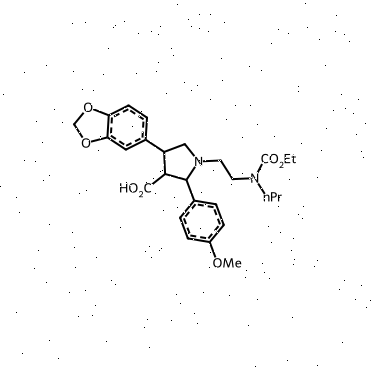 CCCN(CCN1CC(c2ccc3c(c2)OCO3)C(C(=O)O)C1c1ccc(OC)cc1)C(=O)OCC